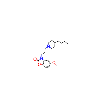 CCCCC1CCN(CCCn2c(=O)oc3ccc(OC)cc32)CC1